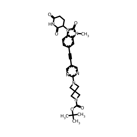 Cn1c(=O)n(C2CCC(=O)NC2=O)c2ccc(C#Cc3cnc(N4CC5(CN(C(=O)OC(C)(C)C)C5)C4)nc3)cc21